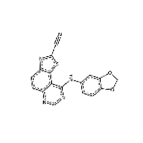 N#Cc1nc2ccc3ncnc(Nc4ccc5c(c4)OCO5)c3c2s1